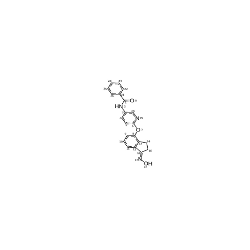 O=C(Nc1ccc(Oc2cccc3c2CC/C3=N\O)nc1)c1ccccc1